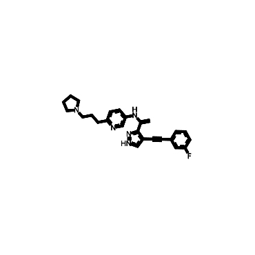 C=C(Nc1ccc(CCCN2CCCC2)nc1)c1n[nH]cc1C#Cc1cccc(F)c1